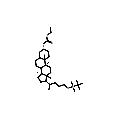 CCOC(=O)C[C@@H]1CCC2(C)C(CCC3[C@@H]2CCC2(C)[C@@H](C(C)CCCO[Si](C)(C)C(C)(C)C)CC[C@@H]32)C1